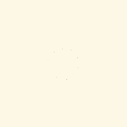 CC[Si]1(CC)O[Si](CC)(CC)O[Si](CC)(CC)O[Si](CC)(CC)O[Si](CC)(CC)O[Si](CC)(CC)O[Si](CC)(CC)O[Si](CC)(CC)O[Si](CC)(CC)O[Si](CC)(CC)O1